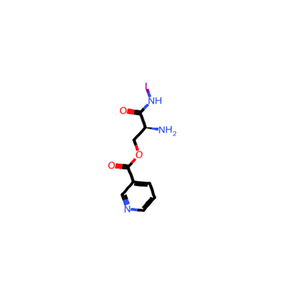 N[C@@H](COC(=O)c1cccnc1)C(=O)NI